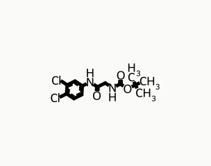 CC(C)(C)OC(=O)NCC(=O)Nc1ccc(Cl)c(Cl)c1